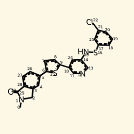 CN1Cc2cc(-c3ccc(-c4cncc(NSc5cccc(Cl)c5)c4)s3)ccc2C1=O